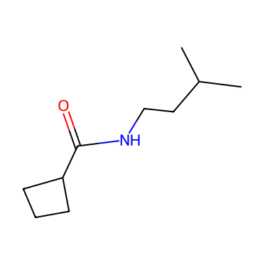 CC(C)CCNC(=O)C1CCC1